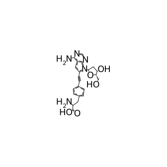 Nc1ncnc2c1cc(C#Cc1ccc(C[C@H](N)C(=O)O)cc1)n2[C@H]1C[C@H](O)[C@@H](CO)O1